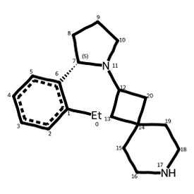 CCc1ccccc1[C@@H]1CCCN1C1CC2(CCNCC2)C1